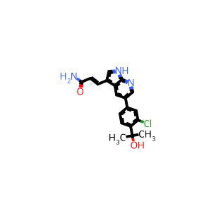 CC(C)(O)c1ccc(-c2cnc3[nH]cc(/C=C/C(N)=O)c3c2)cc1Cl